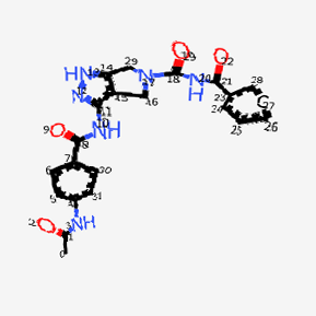 CC(=O)Nc1ccc(C(=O)Nc2n[nH]c3c2CN(C(=O)NC(=O)c2ccccc2)C3)cc1